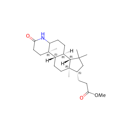 COC(=O)CC[C@H]1CC(C)(C)[C@H]2[C@@H]3CCC4NC(=O)CC[C@]4(C)[C@H]3CC[C@]12C